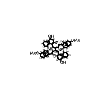 COc1ccc2c(c1)NC(C(C#N)C1c3c(-c4ccc(O)cc4)n(B(c4ccccc4)c4ccccc4)/c(=C(/C#N)c4nc5cc(OC)ccc5s4)c3=C(c3ccc(O)cc3)N1B(c1ccccc1)c1ccccc1)S2